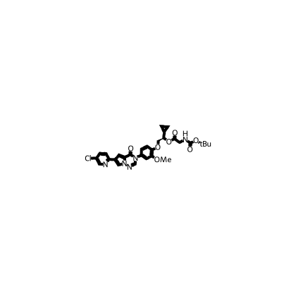 COc1cc(-n2cnn3cc(-c4ccc(Cl)cn4)cc3c2=O)ccc1OC[C@H](OC(=O)CNC(=O)OC(C)(C)C)C1CC1